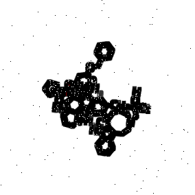 CC[C@]1(O)CC2CN(CCc3c([nH]c4ccccc34)[C@@](C)(c3cc4c(cc3C)N(C)[C@H]3[C@@](O)(C(=O)OC)[C@H](O[Si]5(CCCCC(=O)OCc6ccccc6)CCCC5)[C@]5(CC)C=CCN6CC[C@]43[C@@H]65)C2)C1